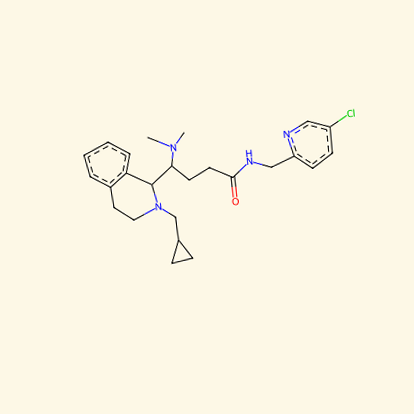 CN(C)C(CCC(=O)NCc1ccc(Cl)cn1)C1c2ccccc2CCN1CC1CC1